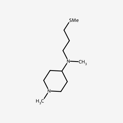 CSCCCN(C)C1CCN(C)CC1